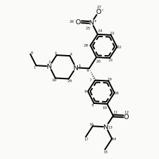 CCN1CCN([C@@H](c2ccc(C(=O)N(CC)CC)cc2)c2cccc([N+](=O)[O-])c2)CC1